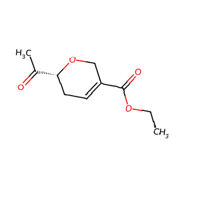 CCOC(=O)C1=CC[C@H](C(C)=O)OC1